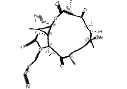 CO[C@@]1(C)C[C@@H](C)C(=O)[C@H](C)[C@H]2N(CN=[N+]=[N-])C(=O)O[C@@]23C(C)[C@H]3OC(=O)[C@H](C)C(=O)[C@H](C)[C@H]1O